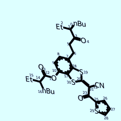 CCCCC(CC)C(=O)CCc1ccc(OC(=O)C(CC)CCCC)c2c1S/C(=C(\C#N)C(=O)c1cccs1)S2